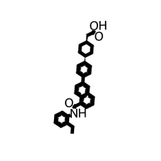 CCc1ccccc1NC(=O)c1cccc2cc(-c3ccc([C@H]4CC[C@H](CC(=O)O)CC4)cc3)ccc12